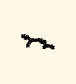 CC1(C)c2ccc(N(c3ccc(-c4ccccc4)cc3)c3ccc(-c4ccc(-c5ccc6oc7c8c(ccc7c6c5)-c5cc(N(c6ccccc6)c6ccc(-c7ccc9ccccc9c7)cc6)ccc5C8(C)C)cc4)cc3)cc2-c2ccc3c(oc4ccccc43)c21